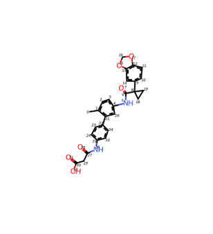 Cc1ccc(NC(=O)C2(c3ccc4c(c3)OCO4)CC2)cc1-c1ccc(NC(=O)CC(=O)O)cc1